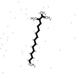 [CH2]C(C)C(C)CCCCCCCCCCCCC